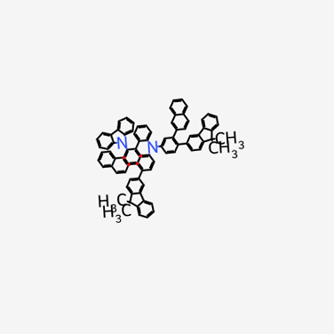 CC1(C)c2ccccc2-c2cc(-c3ccc(N(c4ccc(-c5ccc6c(c5)-c5ccccc5C6(C)C)c(-c5ccc6ccccc6c5)c4)c4ccccc4-c4ccccc4-n4c5ccccc5c5ccccc54)cc3-c3ccc4ccccc4c3)ccc21